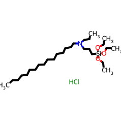 CCCCCCCCCCCCCCCCN(CCC)CCC[Si](OCC)(OCC)OCC.Cl